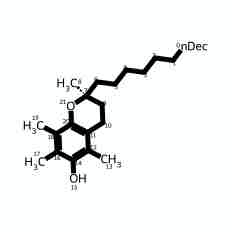 CCCCCCCCCCCCCCCC[C@@]1(C)CCc2c(C)c(O)c(C)c(C)c2O1